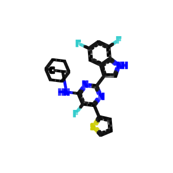 Fc1cc(F)c2[nH]cc(-c3nc(NC4CC5CCC4CC5)c(F)c(-c4cccs4)n3)c2c1